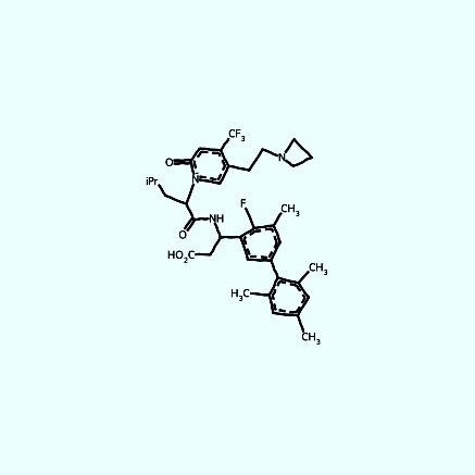 Cc1cc(C)c(-c2cc(C)c(F)c(C(CC(=O)O)NC(=O)C(CC(C)C)n3cc(CCN4CCC4)c(C(F)(F)F)cc3=O)c2)c(C)c1